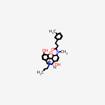 C=CCN1CC[C@]23c4c5ccc(O)c4OC2C(N(C)C(=O)CCc2cccc(C)c2)C=C[C@@]3(O)[C@H]1C5